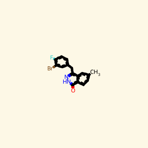 Cc1ccc2c(=O)[nH]nc(Cc3ccc(F)c(Br)c3)c2c1